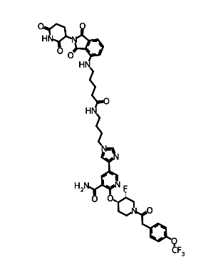 NC(=O)c1cc(-c2cn(CCCCNC(=O)CCCCNc3cccc4c3C(=O)N(C3CCC(=O)NC3=O)C4=O)cn2)cnc1O[C@@H]1CCN(C(=O)Cc2ccc(OC(F)(F)F)cc2)C[C@H]1F